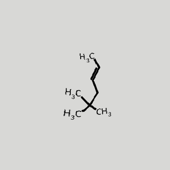 CC=CCC(C)(C)C